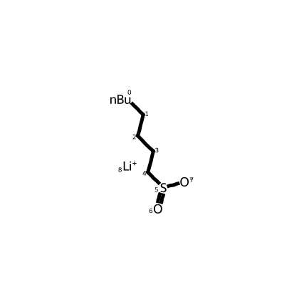 CCCCCCCCS(=O)[O-].[Li+]